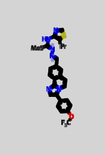 CS/C(=N\N=C\c1ccc2c(ccn3c(-c4ccc(OC(F)(F)F)cc4)cnc23)c1)Nc1ncsc1C(C)C